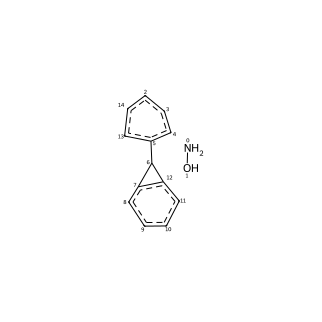 NO.c1ccc(C2c3ccccc32)cc1